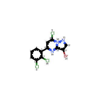 Clc1cccc(-c2cc(Cl)n3ncc(Br)c3n2)c1Cl